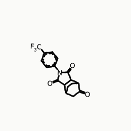 O=C1CC2CCC1C1C(=O)N(c3ccc(C(F)(F)F)cc3)C(=O)C21